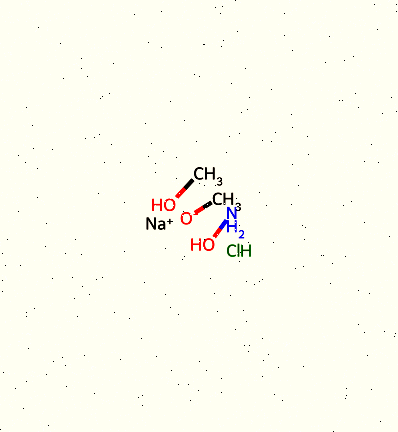 CO.C[O-].Cl.NO.[Na+]